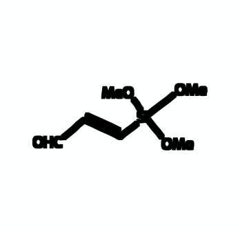 CO[Si](C=CC=O)(OC)OC